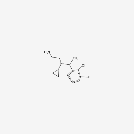 CC(c1cccc(F)c1Cl)N(CCN)C1CC1